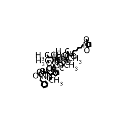 CC[C@H](C)[C@@H]([C@@H](CC(=O)N1CCCC1[C@H](OC)[C@@H](C)C(=O)N[C@@H](Cc1ccccc1)C(=O)O)OC)N(C)C(=O)[C@@H](NC(=O)C(C)(C)N(C)C(=O)CCCCCN1C(=O)C=CC1=O)C(C)C